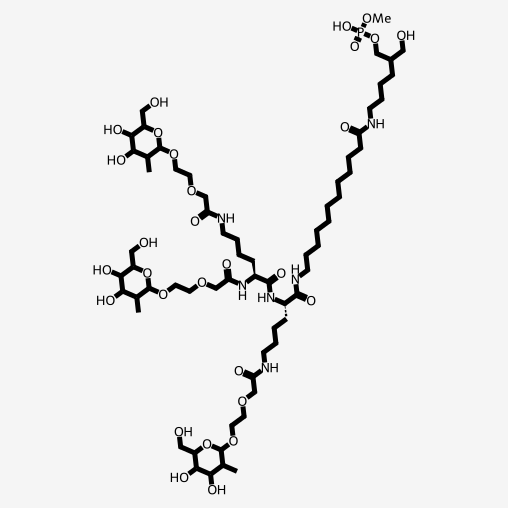 COP(=O)(O)OCC(CO)CCCCNC(=O)CCCCCCCCCCCNC(=O)[C@H](CCCCNC(=O)COCCOC1OC(CO)C(O)C(O)C1C)NC(=O)[C@H](CCCCNC(=O)COCCOC1OC(CO)C(O)C(O)C1C)NC(=O)COCCOC1OC(CO)C(O)C(O)C1C